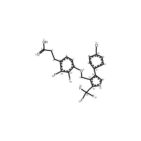 O=C(O)CCc1ccc(OCc2c(-c3ccc(Cl)cc3)csc2C(F)(F)F)c(F)c1F